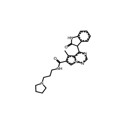 Cc1c(C(=O)NCCCN2CCCC2)cn2ncnc(C3C(=O)Nc4ccccc43)c12